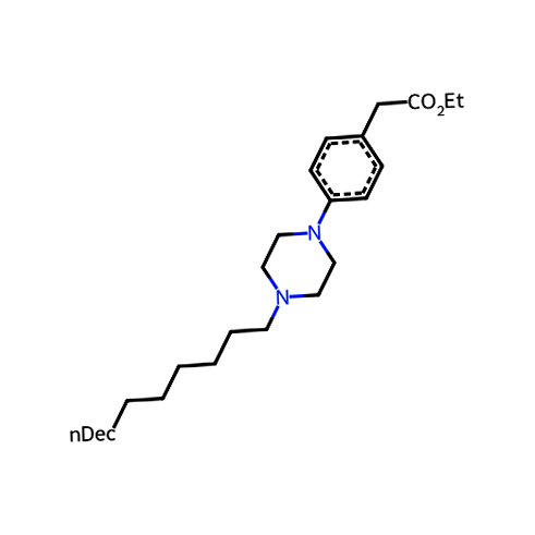 CCCCCCCCCCCCCCCCN1CCN(c2ccc(CC(=O)OCC)cc2)CC1